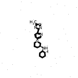 Cc1nc(-c2ccc(N3CCC[C@H](N[C@@H]4CCCC[C@H]4I)C3)cn2)no1